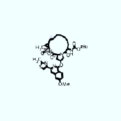 COc1ccc2c(OC3CC4C(=O)NC5(P(C)(C)=O)CC5/C=C/CCCCCC(NC(=O)OC(C)(C)C)C(=O)N4C3)nc(-c3csc(C)n3)cc2c1